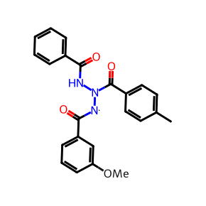 COc1cccc(C(=O)[N]N(NC(=O)c2ccccc2)C(=O)c2ccc(C)cc2)c1